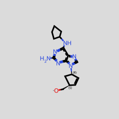 Nc1nc(NC2CCCC2)c2ncn([C@H]3C=C[C@@H](C[O])C3)c2n1